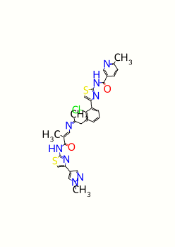 C/C(Cc1cccc(-c2csc(NC(=O)c3ccc(C)nc3)n2)c1Cl)=N/C=C(\C)C(=O)Nc1nc(-c2cnn(C)c2)cs1